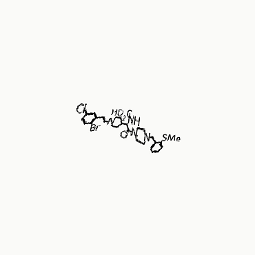 CSc1ccccc1CN1CCN(C(=O)[C@H](NC(=O)O)C2CCN(CCc3cc(Cl)ccc3Br)CC2)CC1